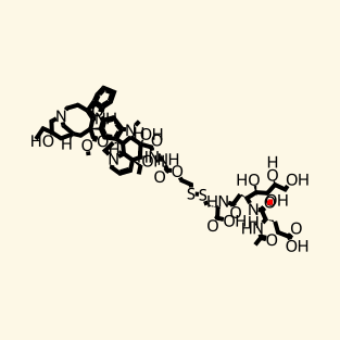 CC[C@]1(O)C[C@H]2CN(CCc3c([nH]c4ccccc34)[C@@](C(=O)OC)(c3cc4c(cc3OC)N(C)[C@H]3[C@@](O)(C(=O)NNC(=O)OCCSSC[C@H](NC(=O)C[C@@H](NC(=O)[C@H](CCC(=O)O)NC(C)=O)[C@@H](O)[C@H](O)[C@H](O)CO)C(=O)O)[C@H](O)[C@]5(CC)C=CCN6CC[C@]43[C@@H]65)C2)C1